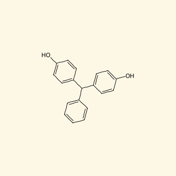 Oc1ccc(C(c2ccccc2)c2ccc(O)cc2)cc1